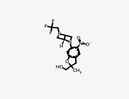 CC1(CO)Cc2cc([N+](=O)[O-])c(N3CC4[C@H]3CN4CC(F)(F)F)cc2O1